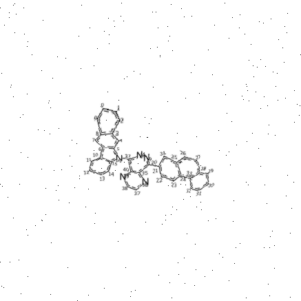 c1ccc2cc3c(cc2c1)c1ccccc1n3-c1nnc(-c2ccc3c(ccc4ccccc43)c2)c2nccnc12